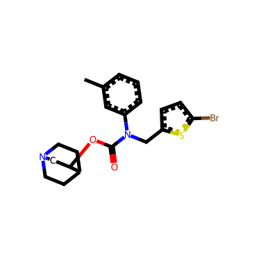 Cc1cccc(N(Cc2ccc(Br)s2)C(=O)OC2CN3CCC2CC3)c1